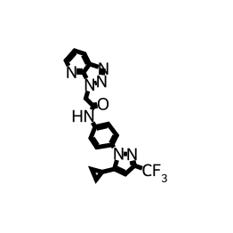 O=C(Cn1nnc2cccnc21)Nc1ccc(-n2nc(C(F)(F)F)cc2C2CC2)cc1